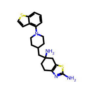 Nc1nc2c(s1)CC(N)(CC1CCN(c3cccc4sccc34)CC1)CC2